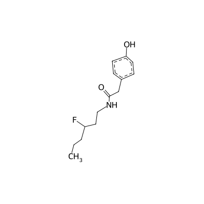 CCCC(F)CCNC(=O)Cc1ccc(O)cc1